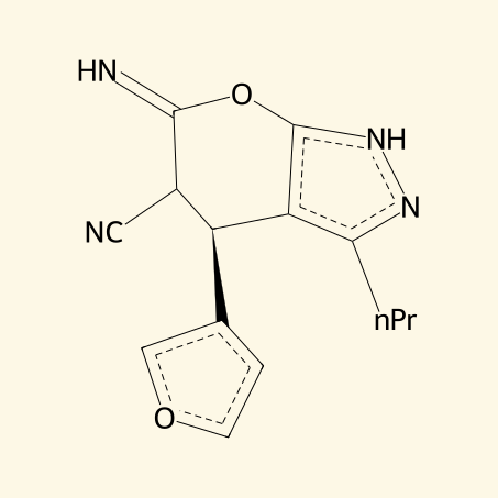 CCCc1n[nH]c2c1[C@@H](c1ccoc1)C(C#N)C(=N)O2